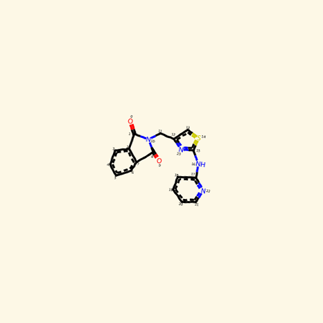 O=C1c2ccccc2C(=O)N1Cc1csc(Nc2ccccn2)n1